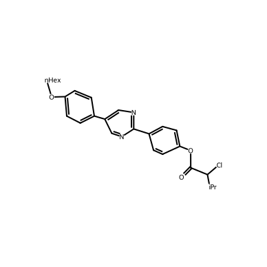 CCCCCCOc1ccc(-c2cnc(-c3ccc(OC(=O)C(Cl)C(C)C)cc3)nc2)cc1